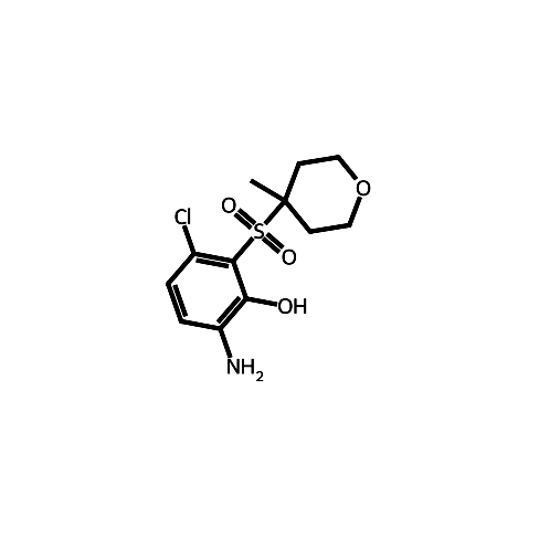 CC1(S(=O)(=O)c2c(Cl)ccc(N)c2O)CCOCC1